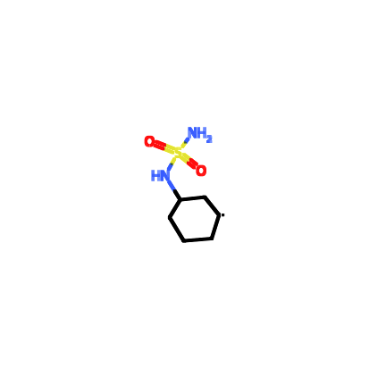 NS(=O)(=O)NC1C[CH]CCC1